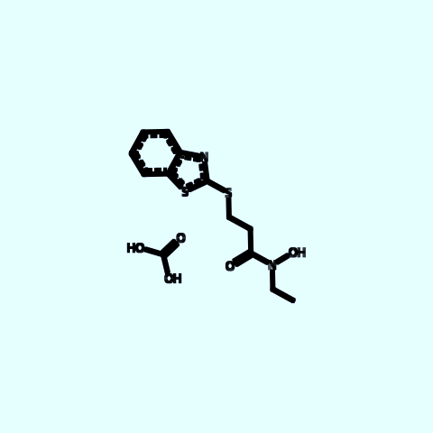 CCN(O)C(=O)CCSc1nc2ccccc2s1.O=C(O)O